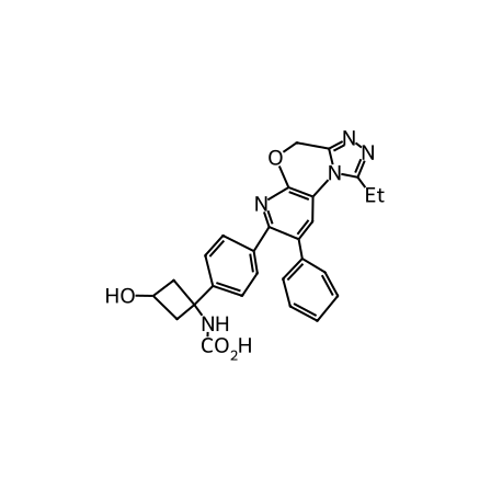 CCc1nnc2n1-c1cc(-c3ccccc3)c(-c3ccc(C4(NC(=O)O)CC(O)C4)cc3)nc1OC2